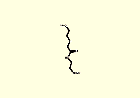 COCCOCC(=O)NCCNC(C)=O